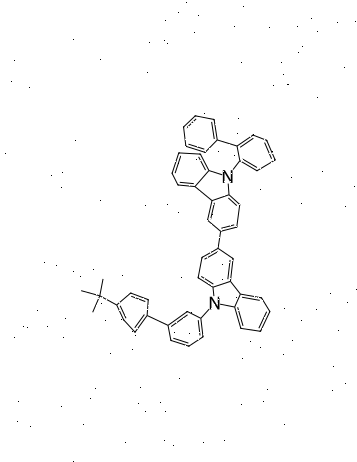 CC(C)(C)c1ccc(-c2cccc(-n3c4ccccc4c4cc(-c5ccc6c(c5)c5ccccc5n6-c5ccccc5-c5ccccc5)ccc43)c2)cc1